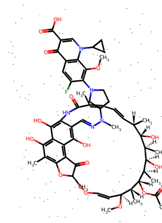 COc1c(N2CCC(N(C)/N=C/c3c4c(O)c5c(O)c(C)c6c(c5c3O)C(=O)[C@@](C)(O/C=C/[C@H](OC)[C@@H](C)[C@@H](OC(C)=O)[C@H](C)[C@H](O)[C@H](C)[C@@H](O)[C@@H](C)/C=C/C=C(/C)C(=O)N4)O6)C2)c(F)cc2c(=O)c(C(=O)O)cn(C3CC3)c12